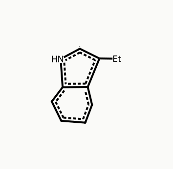 CCc1[c][nH]c2ccccc12